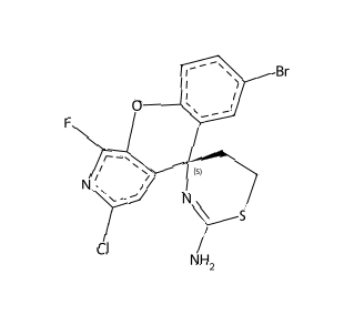 NC1=N[C@@]2(CCS1)c1cc(Br)ccc1Oc1c2cc(Cl)nc1F